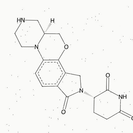 O=C1CC[C@H](N2Cc3c(ccc4c3OC[C@@H]3CNCCN43)C2=O)C(=O)N1